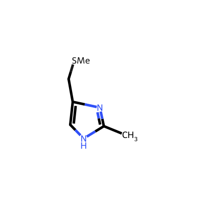 CSCc1c[nH]c(C)n1